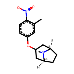 Cc1cc(OC2C[C@H]3CC[C@@H](C2)N3C)ccc1[N+](=O)[O-]